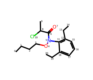 CCCCON(C(=O)C(C)Cl)c1c(CC)cccc1CC